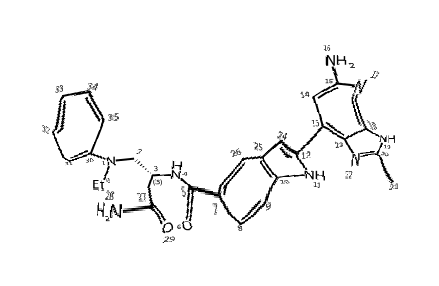 CCN(C[C@H](NC(=O)c1ccc2[nH]c(-c3cc(N)nc4[nH]c(C)nc34)cc2c1)C(N)=O)c1ccccc1